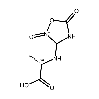 C[C@H](NC1NC(=O)O[N+]1=O)C(=O)O